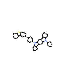 c1ccc(-n2c3ccccc3c3cc4c(cc32)c2ccccc2n4-c2ccc(-c3ccc4sc5ccccc5c4c3)cc2)cc1